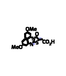 COc1cccc(/N=C2/S/C(=C\C(=O)O)C(=O)N2c2cccc(OC)c2)c1